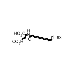 CCCCCC/C=C\CCCCCCCC(=O)NC(CCC(=O)O)C(=O)O